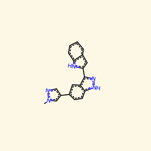 Cn1cc(-c2ccc3[nH]nc(-c4cc5ccccc5[nH]4)c3c2)cn1